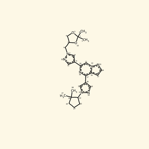 CC1(C)OCC(Cn2cc(-c3cn4nccc4c(-c4cnn(C5CCCC5(C)C)c4)n3)cn2)O1